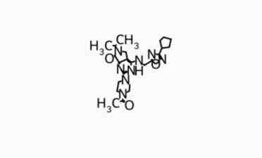 CC(=O)N1CCN(c2nc(NCc3nc(C4CCCC4)no3)c3c(n2)C(=O)N(C(C)C)C3)CC1